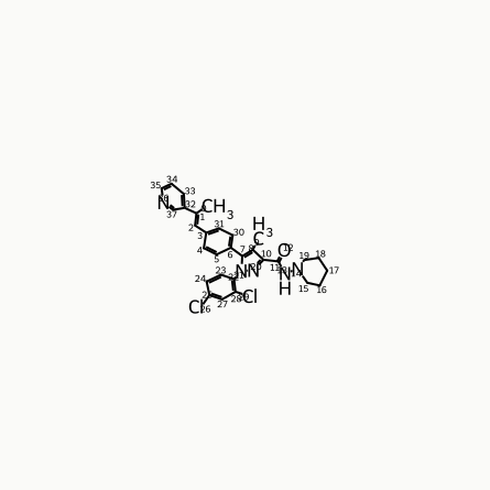 C/C(=C\c1ccc(-c2c(C)c(C(=O)NN3CCCCC3)nn2-c2ccc(Cl)cc2Cl)cc1)c1cccnc1